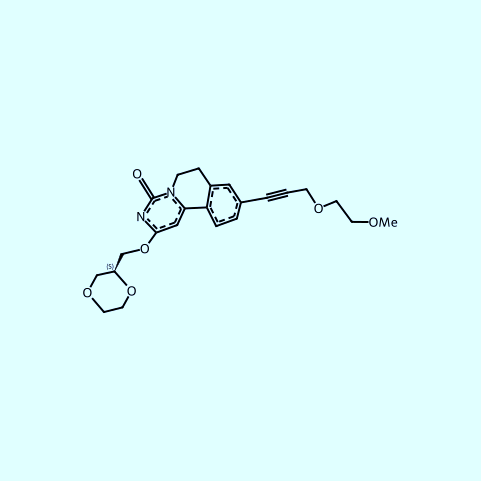 COCCOCC#Cc1ccc2c(c1)CCn1c-2cc(OC[C@@H]2COCCO2)nc1=O